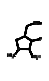 COCC1CN(C(=O)O)C(C(=O)O)C1F